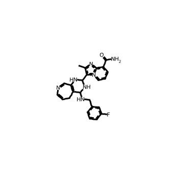 Cc1nc2c(C(N)=O)cccn2c1C1NC2=C(CC=CN=C2)C(NCc2cccc(F)c2)N1